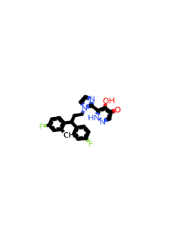 Cc1cc(F)ccc1C(CCn1ccnc1-c1[nH]ncc(=O)c1O)c1ccc(F)cc1